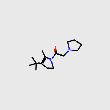 CC1=C(C(C)(C)C)CCN1C(=O)CN1CCCC1